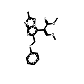 COC=C(C(=O)OC)c1c(COc2ccccc2)sc2nc(C)nn12